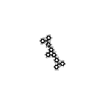 c1ccc(N(c2ccccc2)c2ccc(-c3ccc4c5ccc(-c6ccc(N(c7ccccc7)c7ccccc7)cn6)cc5c5ccccc5c4c3)cc2)cc1